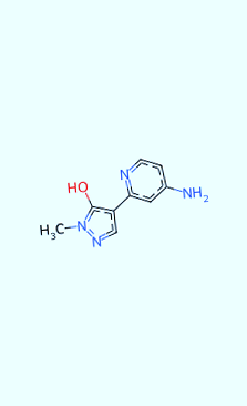 Cn1ncc(-c2cc(N)ccn2)c1O